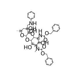 C[C@@H]1C[C@@](O)(CNc2ccccc2)[C@]2(O)OC3C(OC2O1)[C@@H](O)[C@H](N(C)C(=O)OCc1ccccc1)[C@H](O)[C@@H]3NC(=O)OCc1ccccc1